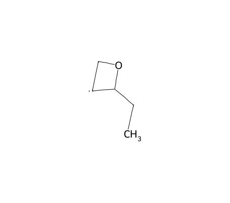 CCC1[CH]CO1